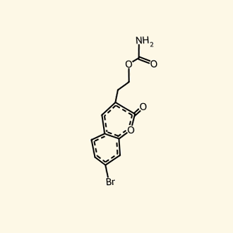 NC(=O)OCCc1cc2ccc(Br)cc2oc1=O